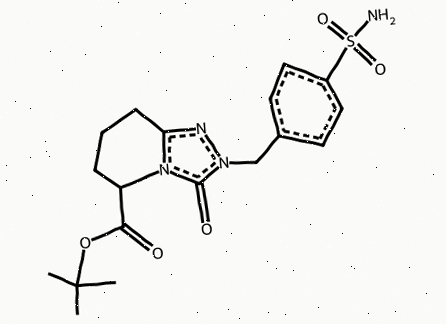 CC(C)(C)OC(=O)C1CCCc2nn(Cc3ccc(S(N)(=O)=O)cc3)c(=O)n21